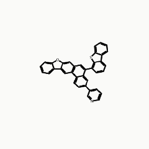 c1cncc(-c2ccc3c(c2)c(-c2cccc4c2sc2ccccc24)cc2cc4oc5ccccc5c4cc23)c1